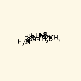 CCCNc1nc(Nc2ccc3c(cnn3C)c2)ncc1C#CCCCNC(=O)C1CCCN1C(=O)C=CCN(C)C